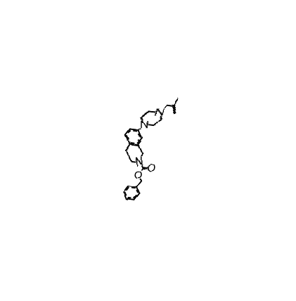 C=C(C)CN1CCN(c2ccc3c(c2)CN(C(=O)OCc2ccccc2)CC3)CC1